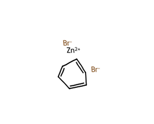 [Br-].[Br-].[Zn+2].c1ccccc1